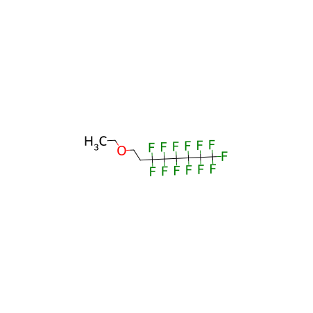 CCOCCC(F)(F)C(F)(F)C(F)(F)C(F)(F)C(F)(F)C(F)(F)F